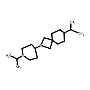 CC(C)C1CCC2(CC1)CN(C1CCN(C(C)C)CC1)C2